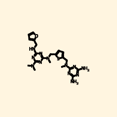 CN(C)c1nc(NCc2ccco2)nc(N(C)Cc2ccc(CN(C)c3nc(N)nc(N)n3)s2)n1